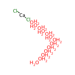 O.O.O.O.O.O.O.O.O.O.O.O.O.[Cl][Ca][Cl]